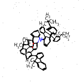 CC(C)(C)c1cccc(C2(c3cccc(C(C)(C)C)c3)c3ccccc3-c3c(N(c4ccc(-c5ccccc5-c5cccc6c5C(C)(C)c5ccccc5-6)cc4)c4ccccc4-c4ccc5c(c4)C(C)(C)c4ccccc4-5)cccc32)c1